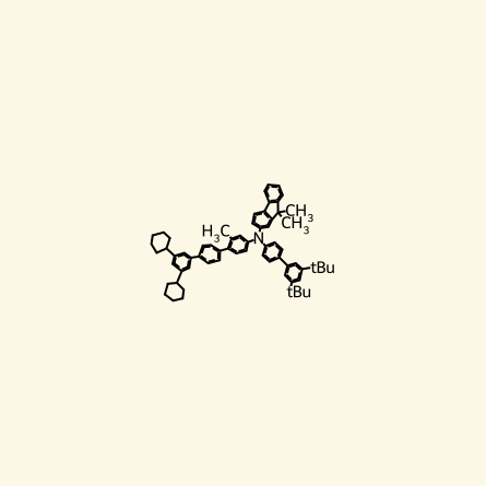 Cc1cc(N(c2ccc(-c3cc(C(C)(C)C)cc(C(C)(C)C)c3)cc2)c2ccc3c(c2)C(C)(C)c2ccccc2-3)ccc1-c1ccc(-c2cc(C3CCCCC3)cc(C3CCCCC3)c2)cc1